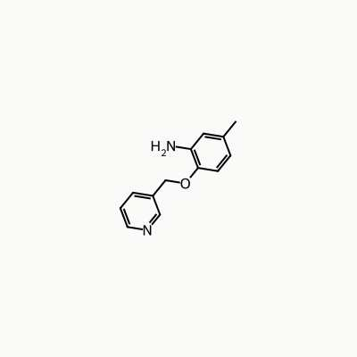 Cc1ccc(OCc2cccnc2)c(N)c1